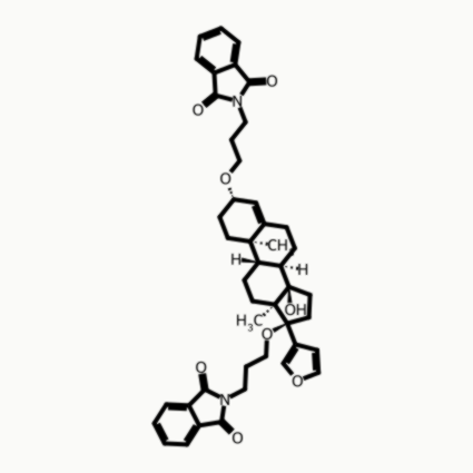 C[C@]12CC[C@H]3[C@@H](CCC4=C[C@@H](OCCCN5C(=O)c6ccccc6C5=O)CC[C@@]43C)[C@]1(O)CC[C@]2(OCCCN1C(=O)c2ccccc2C1=O)c1ccoc1